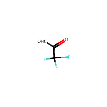 O=[C]C(=O)C(F)(F)F